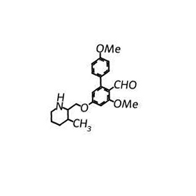 COc1ccc(-c2cc(OCC3NCCCC3C)cc(OC)c2C=O)cc1